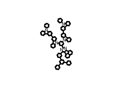 c1ccc(-c2cc(-c3ccccc3)cc(-c3cccc(-c4nc(-c5cc(-n6c7ccccc7c7cc(-c8ccc9c(c8)c8ccccc8n9-c8ccccc8)ccc76)cc(-n6c7ccccc7c7cc(-c8ccc9c(c8)c8ccccc8n9-c8ccccc8)ccc76)c5)nc5c4-c4cccc6cccc-5c46)c3)c2)cc1